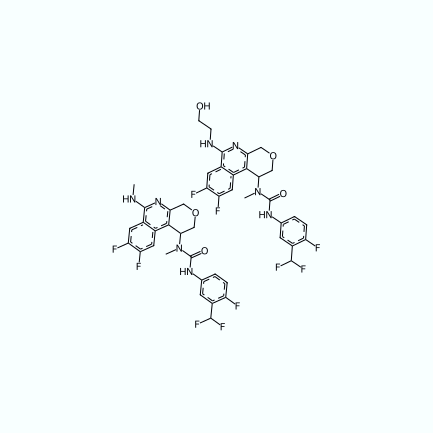 CN(C(=O)Nc1ccc(F)c(C(F)F)c1)C1COCc2nc(NCCO)c3cc(F)c(F)cc3c21.CNc1nc2c(c3cc(F)c(F)cc13)C(N(C)C(=O)Nc1ccc(F)c(C(F)F)c1)COC2